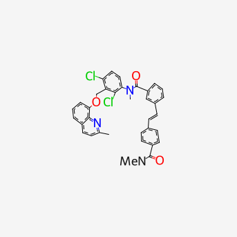 CNC(=O)c1ccc(C=Cc2cccc(C(=O)N(C)c3ccc(Cl)c(COc4cccc5ccc(C)nc45)c3Cl)c2)cc1